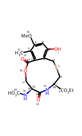 CCOC(=O)[C@@H]1CSCc2c(O)cc(OC)c(C)c2C(=O)OC[C@H](NC(=O)O)C(=O)N1